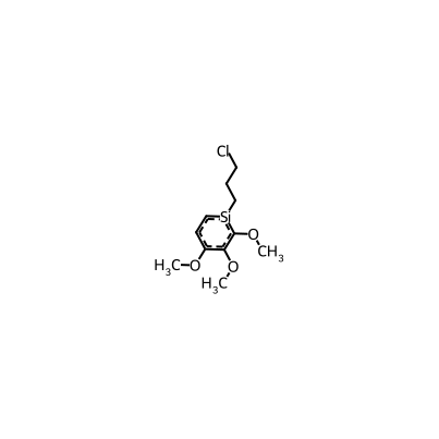 COc1cc[si](CCCCl)c(OC)c1OC